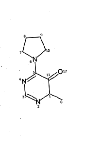 CC1N=[C]N=C(N2CCCC2)C1=O